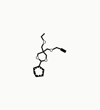 C#CCOCC1(COCC)COC(c2ccccc2)OC1